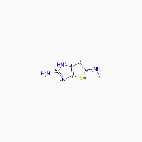 CNc1cc2[nH]c(N)nc2s1